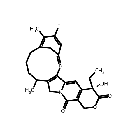 CC[C@@]1(O)C(=O)OCc2c1cc1n(c2=O)CC2=C1/N=C1/C=C(F)C(C)=C(CCCC2C)C1